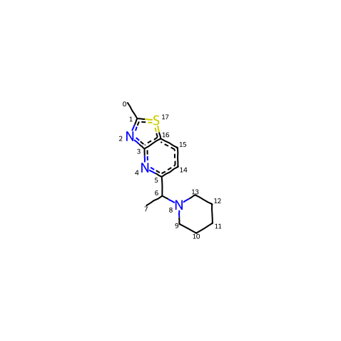 Cc1nc2nc(C(C)N3CCCCC3)ccc2s1